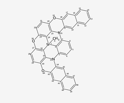 C[Si]12c3c4cccc3N3c5cc6ccccc6cc5Oc5ccc(c1c53)Oc1ccc3c(c12)N4c1cc2ccccc2cc1O3